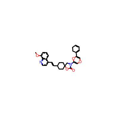 COc1cccc2c(/C=C/C3CCC4(CC3)CN(C3=COC=C(C5=CC=CCC5)O3)C(=O)O4)ccnc12